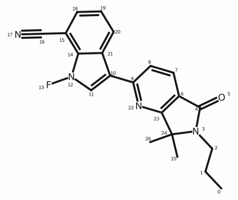 CCCN1C(=O)c2ccc(-c3cn(F)c4c(C#N)cccc34)nc2C1(C)C